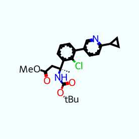 COC(=O)C[C@](C)(NC(=O)OC(C)(C)C)c1cccc(-c2ccc(C3CC3)nc2)c1Cl